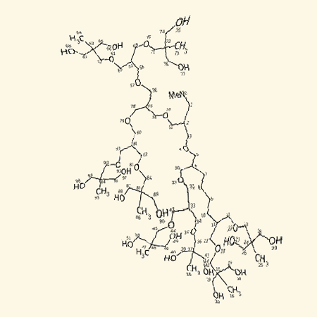 CNCC(COCC(CCCCC(COCC(C)(CO)CO)COCC(C)(CO)CO)COCC(COCC(C)(CO)CO)COCC(C)(CO)CO)COCC(COCC(COCC(C)(CO)CO)COCC(C)(CO)CO)COCC(COCC(C)(CO)CO)COCC(C)(CO)CO